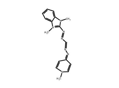 Cn1ccc(=NN=CN=Nc2n(C)c3ccccc3[n+]2C)cc1